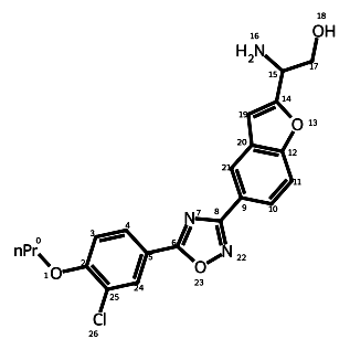 CCCOc1ccc(-c2nc(-c3ccc4oc(C(N)CO)cc4c3)no2)cc1Cl